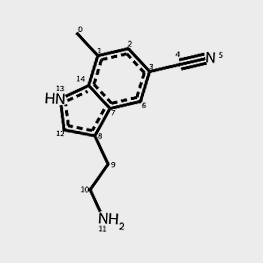 Cc1cc(C#N)cc2c(CCN)c[nH]c12